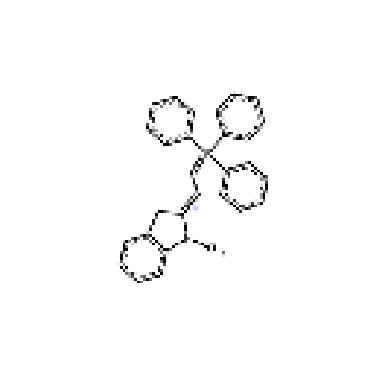 CN1/C(=C/C=P(c2ccccc2)(c2ccccc2)c2ccccc2)Cc2ccccc21